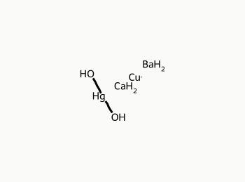 [BaH2].[CaH2].[Cu].[OH][Hg][OH]